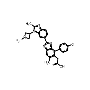 Cc1cc2nc(-c3ccc4nc(C)n(C5CN(C)C5)c4c3)sc2c(-c2ccc(Cl)cc2)c1CC(=O)O